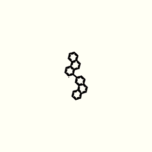 [c]1ccc2c(ccc3ccccc32)c1-c1ccc2ccc3ccccc3c2c1